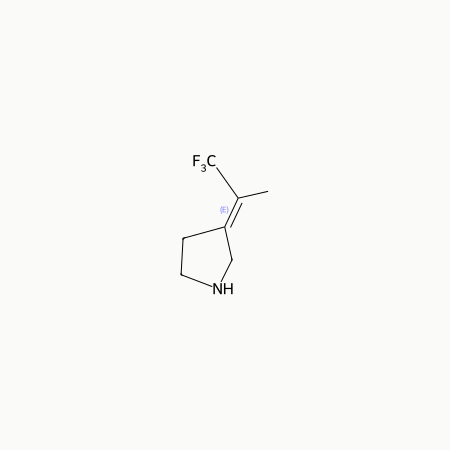 C/C(=C1/CCNC1)C(F)(F)F